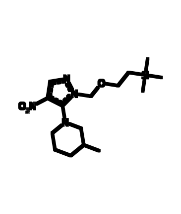 CC1CCCN(c2c([N+](=O)[O-])cnn2COCC[Si](C)(C)C)C1